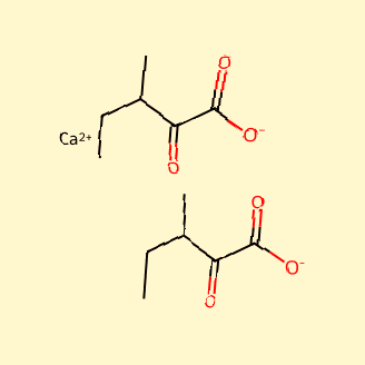 CCC(C)C(=O)C(=O)[O-].CCC(C)C(=O)C(=O)[O-].[Ca+2]